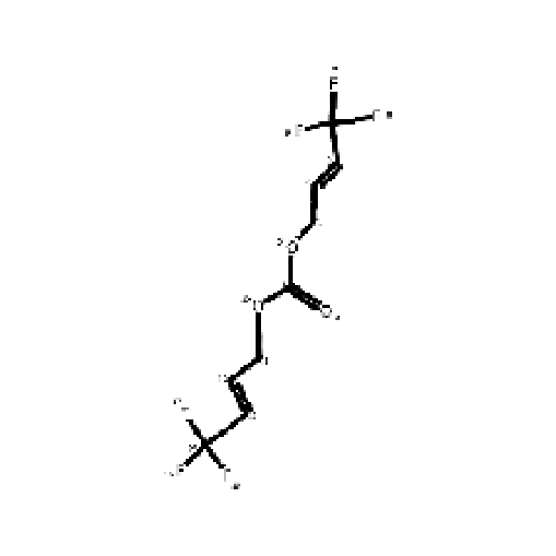 O=C(OCC=CC(F)(F)F)OCC=CC(F)(F)F